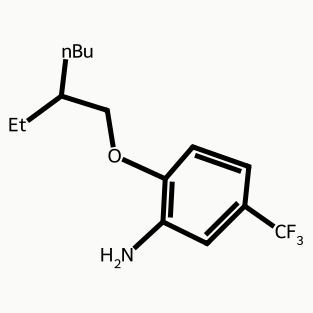 CCCCC(CC)COc1ccc(C(F)(F)F)cc1N